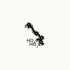 Cc1c(CC2(CC(=O)O)CC2)c2cccc(C=Cc3ccc(OCC=CCOc4cccc(F)c4F)cc3)c2n1CC(=O)O